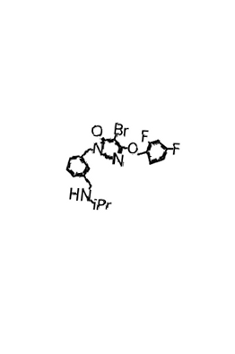 CC(C)NCc1cccc(Cn2cnc(OCc3ccc(F)cc3F)c(Br)c2=O)c1